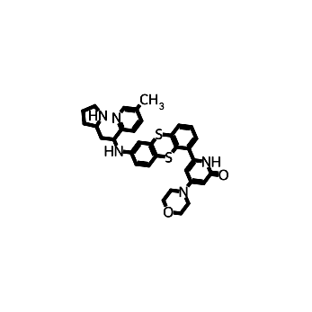 Cc1ccc(C(CC2CCCN2)Nc2ccc3c(c2)Sc2cccc(-c4cc(N5CCOCC5)cc(=O)[nH]4)c2S3)nc1